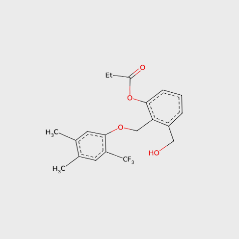 CCC(=O)Oc1cccc(CO)c1COc1cc(C)c(C)cc1C(F)(F)F